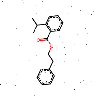 CC(C)c1ccccc1C(=O)OCCc1ccccc1